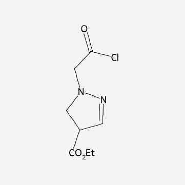 CCOC(=O)C1C=NN(CC(=O)Cl)C1